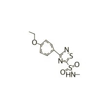 CCOc1ccc(-c2nsc(S(=O)(=O)NC)n2)cc1